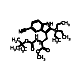 CC[Si](CC)(CC)c1[nH]c2ccc(C#N)cc2c1C[C@H](NC(=O)OC(C)(C)C)C(=O)OC